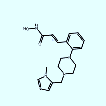 Cn1cncc1CN1CCN(c2ccccc2/C=C/C(=O)NO)CC1